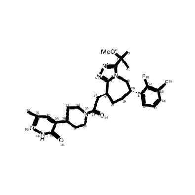 COC(C)(C)c1nnc2n1C[C@H](c1cccc(F)c1F)CC[C@H]2CC(=O)N1CCC(c2cc(C)n[nH]c2=O)CC1